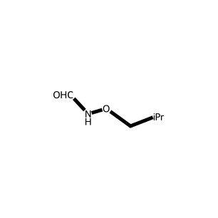 CC(C)CONC=O